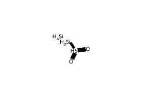 O=[SH](=O)[SiH3].[SiH4]